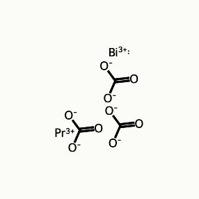 O=C([O-])[O-].O=C([O-])[O-].O=C([O-])[O-].[Bi+3].[Pr+3]